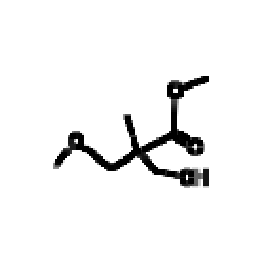 COCC(C)(CO)C(=O)OC